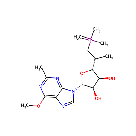 C=P(C)(C)CC(C)[C@H]1O[C@@H](n2cnc3c(OC)nc(C)nc32)[C@H](O)[C@@H]1O